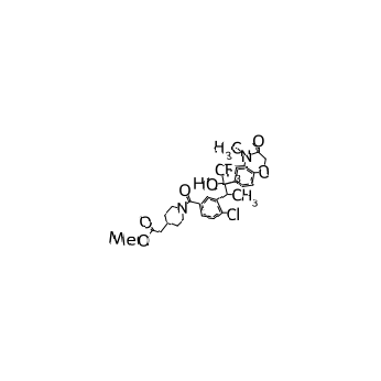 COC(=O)CC1CCN(C(=O)c2ccc(Cl)c(C(C)C(O)(c3ccc4c(c3)N(C)C(=O)CO4)C(F)(F)F)c2)CC1